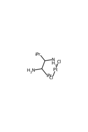 CC(C)C(N)C(N)C(C)C.[Cl][Pt][Cl]